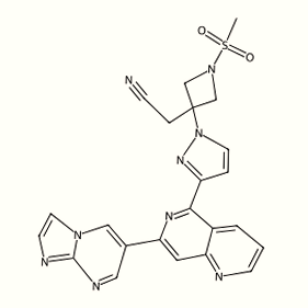 CS(=O)(=O)N1CC(CC#N)(n2ccc(-c3nc(-c4cnc5nccn5c4)cc4ncccc34)n2)C1